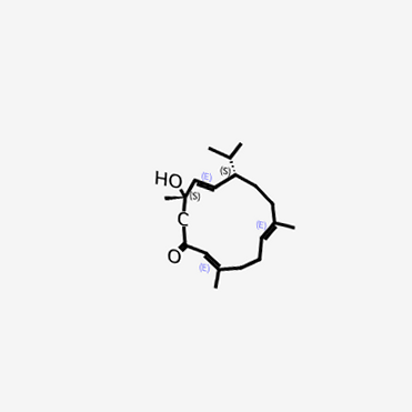 C/C1=C\C(=O)C[C@](C)(O)/C=C/[C@H](C(C)C)CC/C(C)=C/CC1